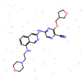 N#Cc1ncc(Nc2cc3cccc(NCCN4CCOCC4)c3cn2)nc1OCC1CCOC1